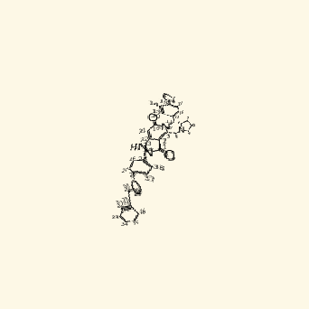 O=c1c2c(CN3CCCC3)n(Cc3ccc(Cl)cc3)c(=O)cc2[nH]n1-c1ccc(OCc2ccccc2)cc1